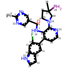 CC(C)c1ncc(C(=O)Nc2c(-c3cc4cc[nH]c4cc3F)ccnc2N2CCC(C)(P)C2)cn1